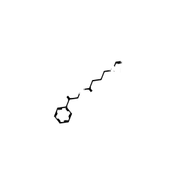 O=[C]NCCCC(=O)OCC(=O)c1ccccc1